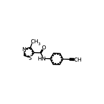 C#Cc1ccc(NC(=O)c2scnc2C)cc1